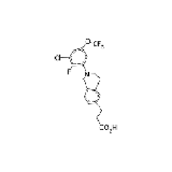 O=C(O)CCc1ccc2c(c1)CCN(c1cc(OC(F)(F)F)cc(Cl)c1F)C2